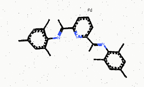 CC(=Nc1c(C)cc(C)cc1C)c1cccc(C(C)=Nc2c(C)cc(C)cc2C)n1.[Pd]